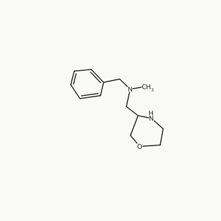 CN(Cc1ccccc1)CC1COCCN1